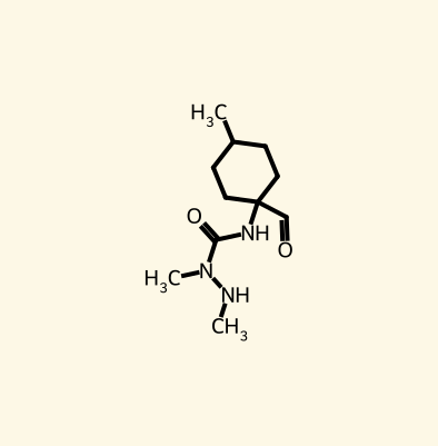 CNN(C)C(=O)NC1(C=O)CCC(C)CC1